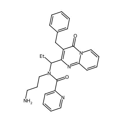 CCC(c1nc2ccccn2c(=O)c1Cc1ccccc1)N(CCCN)C(=O)c1ccccn1